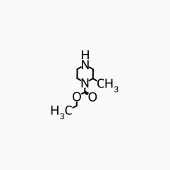 CCOC(=O)N1CCNCC1C